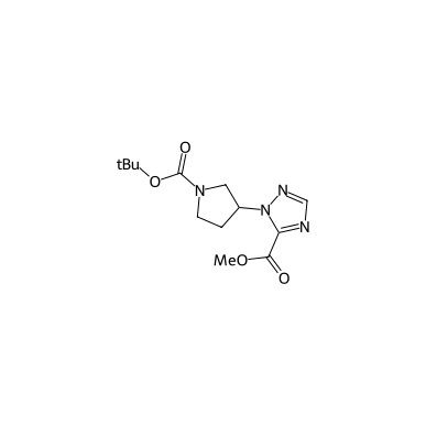 COC(=O)c1ncnn1C1CCN(C(=O)OC(C)(C)C)C1